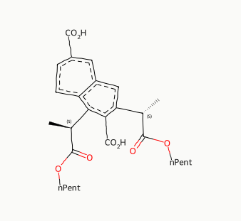 CCCCCOC(=O)[C@@H](C)c1cc2cc(C(=O)O)ccc2c([C@H](C)C(=O)OCCCCC)c1C(=O)O